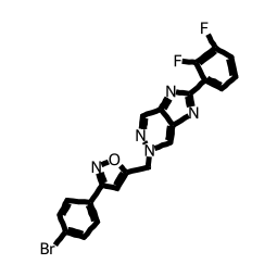 Fc1cccc(-c2nc3cnn(Cc4cc(-c5ccc(Br)cc5)no4)cc-3n2)c1F